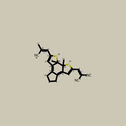 [C-]#[N+]/C(C#N)=C/C1=CC2=C3CCCC3=C3C=C(/C=C(/C)C#N)SC3(C)C2(C)S1